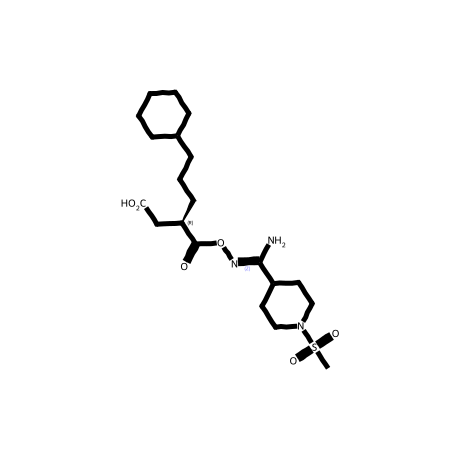 CS(=O)(=O)N1CCC(/C(N)=N/OC(=O)[C@H](CCCC2CCCCC2)CC(=O)O)CC1